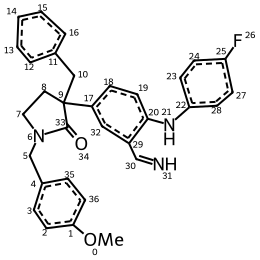 COc1ccc(CN2CCC(Cc3ccccc3)(c3ccc(Nc4ccc(F)cc4)c(C=N)c3)C2=O)cc1